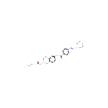 COCCOC(=O)CN1CCc2cc(NC(=O)c3ccc(C=NN4CCOCC4)cc3)ccc2C1